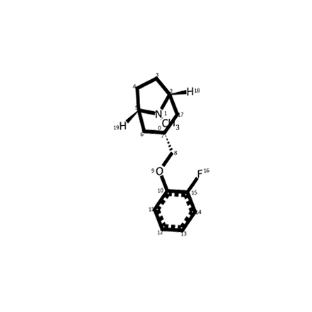 CN1[C@@H]2CC[C@H]1C[C@@H](COc1ccccc1F)C2